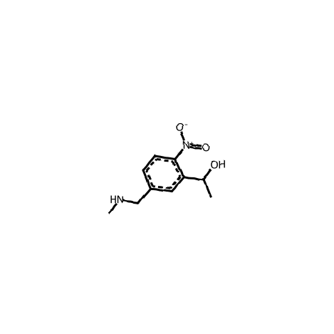 CNCc1ccc([N+](=O)[O-])c(C(C)O)c1